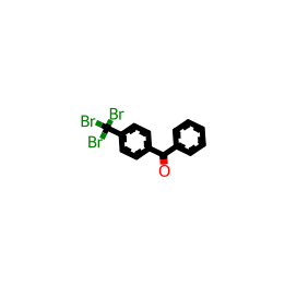 O=C(c1ccccc1)c1ccc(C(Br)(Br)Br)cc1